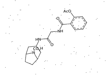 CC(=O)Oc1ccccc1C(=O)NCC(=O)NC1CC2CCC(C1)N2C(=O)O